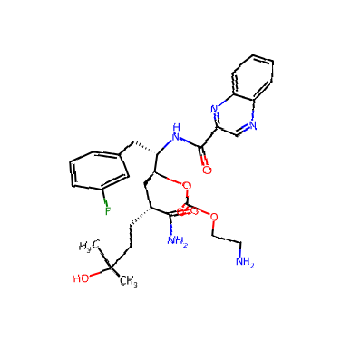 CC(C)(O)CC[C@H](C[C@H](OC(=O)OCCN)[C@H](Cc1cccc(F)c1)NC(=O)c1cnc2ccccc2n1)C(N)=O